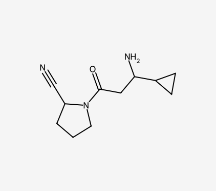 N#CC1CCCN1C(=O)CC(N)C1CC1